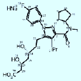 CC(C)c1c(C(=O)N(C)C2CCCC2)nn(-c2ccc(F)cc2)c1CC[C@@H](O)C[C@@H](O)CC(=O)O.[NaH]